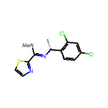 CN/C(=N\[C@H](C)c1ccc(Cl)cc1Cl)c1nccs1